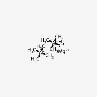 [CH3][Al-]([CH3])([CH3])[CH3].[CH3][Al-]([CH3])([CH3])[CH3].[Mg+2]